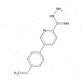 C=Cc1ccc(-c2ccc(C(=N)NN)nc2)cc1